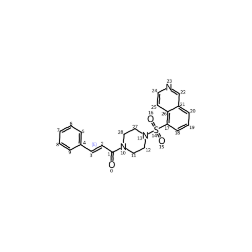 O=C(/C=C/c1ccccc1)N1CCN(S(=O)(=O)c2cccc3cnccc23)CC1